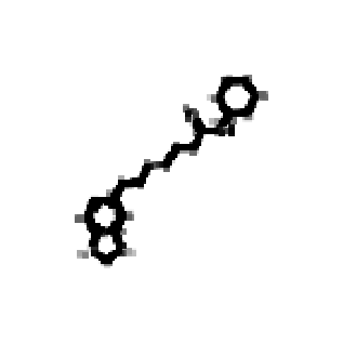 O=C(CCCCCCc1ccc2c(c1)OCO2)NC1CCCCC1